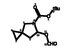 CC(C)(C)OC(=O)N1CC2(CC2)CC1OC=O